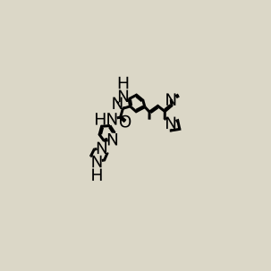 C=N/C=C(\C=C(/C)c1ccc2[nH]nc(C(=O)Nc3ccc(N4CCNCC4)nc3)c2c1)CN1CCC1